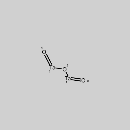 [O]=[Ta][O][Ta]=[O]